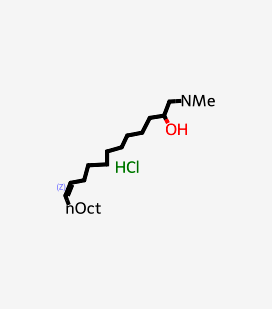 CCCCCCCC/C=C\CCCCCCCCC(O)CNC.Cl